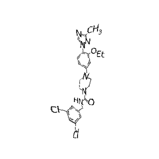 CCOc1cc(N2CCN(C(=O)NCc3cc(Cl)cc(Cl)c3)CC2)ccc1-n1cnc(C)n1